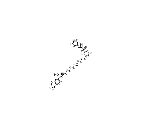 CC1(C)OCc2cc([C@H](O)CNCCCCCCOCCCCc3cccc(S(=O)(=O)NCc4ccccc4)c3)ccc2O1